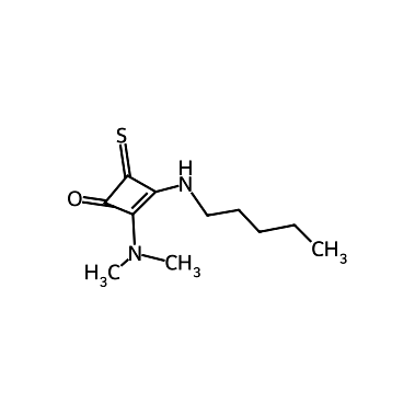 CCCCCNc1c(N(C)C)c(=O)c1=S